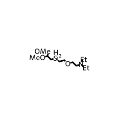 CCN(CC)CCOCC[SiH2]CC(OC)OC